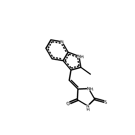 Cc1[nH]c2ncccc2c1/C=C1\NC(=S)NC1=O